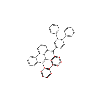 c1ccc(-c2cccc(N(c3ccc(-c4ccccc4)c(-c4ccccc4)c3)c3cccc4c3c(-c3ccccc3)c(-c3ccccc3)c3ccccc34)c2)cc1